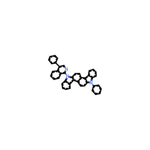 c1ccc(-c2cnc(-n3c4ccccc4c4c5ccc6c(c5ccc43)c3ccccc3n6-c3ccccc3)c3ccccc23)cc1